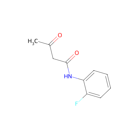 CC(=O)CC(=O)Nc1ccccc1F